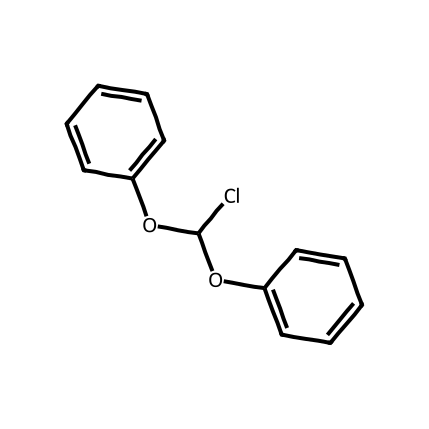 ClC(Oc1ccccc1)Oc1ccccc1